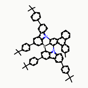 Cc1ccc2c3ccccc3c3cc4c5c(c3c2c1)-n1c2ccc(-c3ccc(C(C)(C)C)cc3)cc2c2cc(-c3ccc(C(C)(C)C)cc3)cc(c21)B5c1cc(-c2ccc(C(C)(C)C)cc2)cc2c3cc(-c5ccc(C(C)(C)C)cc5)ccc3n-4c12